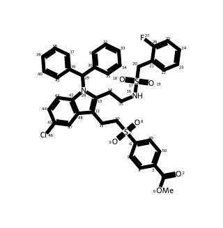 COC(=O)c1ccc(S(=O)(=O)CCc2c(CCNS(=O)(=O)Cc3ccccc3F)n(C(c3ccccc3)c3ccccc3)c3ccc(Cl)cc23)cc1